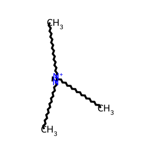 CCCCCCCCCCCCCCCCCCC[n+]1ccn(CCCCCCCCCCCCCCCCC)c1CCCCCCCCCCCCCCCCCC